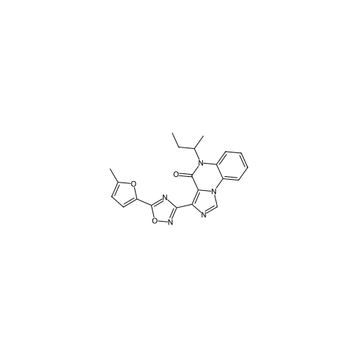 CCC(C)n1c(=O)c2c(-c3noc(-c4ccc(C)o4)n3)ncn2c2ccccc21